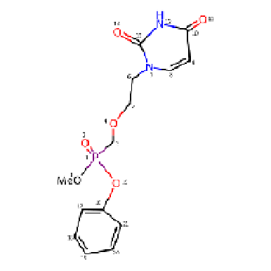 COP(=O)(COCCn1ccc(=O)[nH]c1=O)Oc1ccccc1